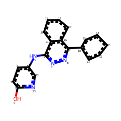 Oc1ccc(Nc2nnc(-c3ccccc3)c3ccccc23)cn1